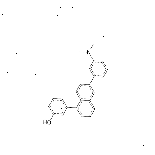 CN(C)c1cccc(-c2ccc3c(-c4cccc(O)c4)cccc3c2)c1